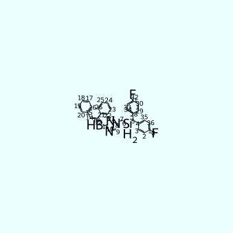 Fc1ccc(C([SiH2]Cn2cnc(BC(=Cc3ccccc3)c3ccccc3)n2)c2ccc(F)cc2)cc1